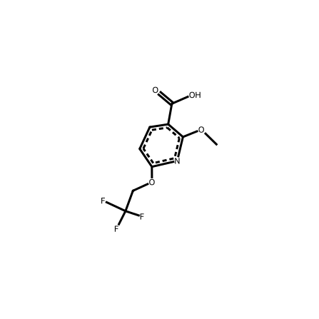 COc1nc(OCC(F)(F)F)ccc1C(=O)O